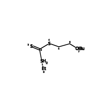 CC[SH2]C(=S)SCCOCC(C)C